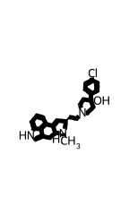 CN1C[C@H](CCN2CCC(O)(c3ccc(Cl)cc3)CC2)C=C2c3cccc4[nH]cc(c34)C[C@H]21